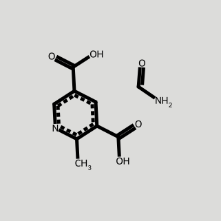 Cc1ncc(C(=O)O)cc1C(=O)O.NC=O